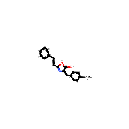 COc1ccc(C=C2N=C(C=Cc3ccccc3)OC2=O)cc1